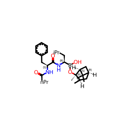 CCCC(=O)N[C@@H](Cc1ccccc1)C(=O)N[C@@H](CC(C)C)B(O)O[C@]1(C)[C@H](C)C[C@@H]2C[C@H]1C2(C)C